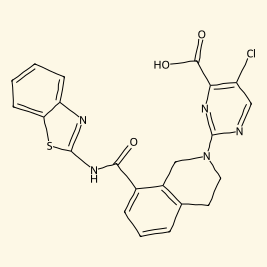 O=C(Nc1nc2ccccc2s1)c1cccc2c1CN(c1ncc(Cl)c(C(=O)O)n1)CC2